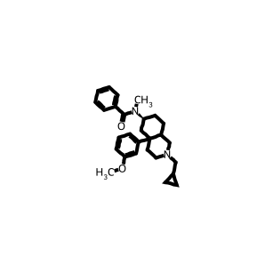 COc1cccc(C23CCN(CC4CC4)CC2CC[C@H](N(C)C(=O)c2ccccc2)C3)c1